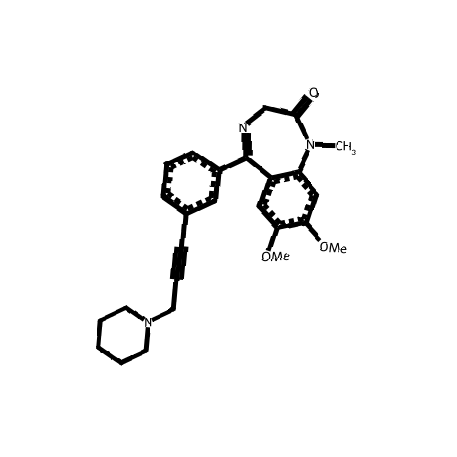 COc1cc2c(cc1OC)N(C)C(=O)CN=C2c1cccc(C#CCN2CCCCC2)c1